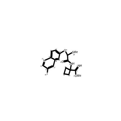 COC(=N)C1(NC(=O)C(Oc2ccc3ncc(I)cc3c2)SC)CCC1